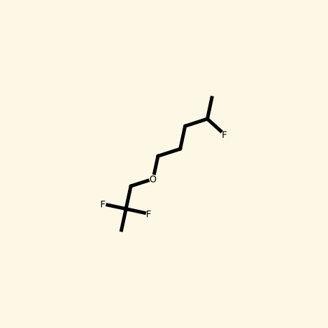 CC(F)CCCOCC(C)(F)F